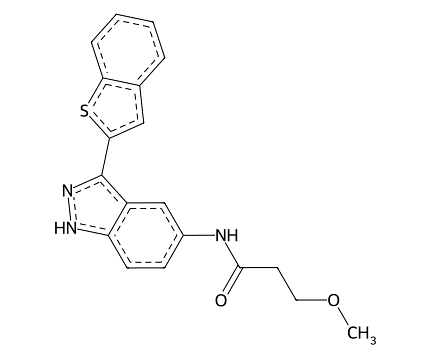 COCCC(=O)Nc1ccc2[nH]nc(-c3cc4ccccc4s3)c2c1